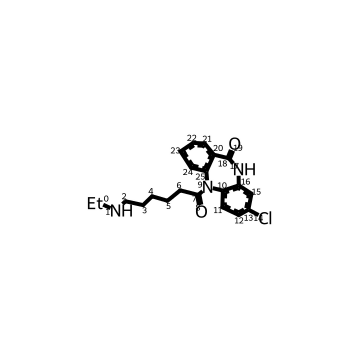 CCNCCCCCC(=O)N1c2ccc(Cl)cc2NC(=O)c2ccccc21